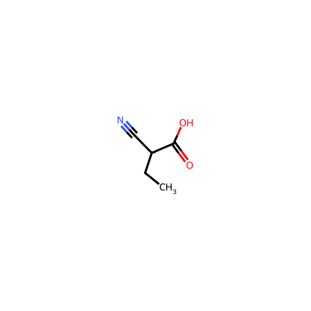 CC[C](C#N)C(=O)O